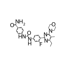 CCc1nc(-c2ccc(NC(=O)Nc3ccc(C(N)=O)cc3)cc2F)nc(N2CCOCC2)c1C